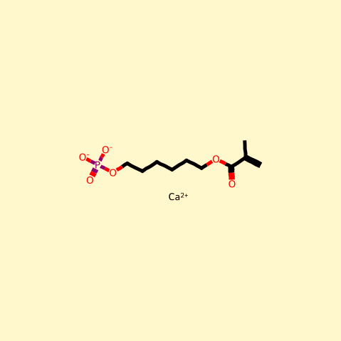 C=C(C)C(=O)OCCCCCCOP(=O)([O-])[O-].[Ca+2]